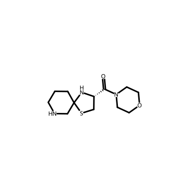 O=C([C@@H]1CSC2(CCCNC2)N1)N1CCOCC1